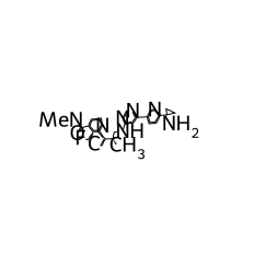 CNC(=O)c1ccnc2c([C@H](C)CNc3cc(-c4ccc(C5(N)CC5)nc4)ncn3)ccc(F)c12